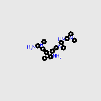 Nc1ccc(-c2ccccc2)c(-c2ccccc2)c1-c1ccccc1.Nc1ccc2c(c1)c1ccccc1n2-c1ccccc1.c1ccc(-n2c3ccccc3c3cc(Nc4ccc5c(c4)c4ccccc4n5-c4ccccc4)ccc32)cc1